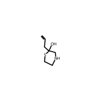 C=CCC1(O)CNCCS1